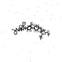 CC(=O)NC[C@H]1CN(c2ccc(-c3ccc(CN(CCCF)CCCF)nc3)c(F)c2)C(=O)O1